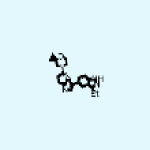 CCc1n[nH]c2ccc(-c3cnc4ccc(N5CCOC6(CC6)C5)nn34)cc12